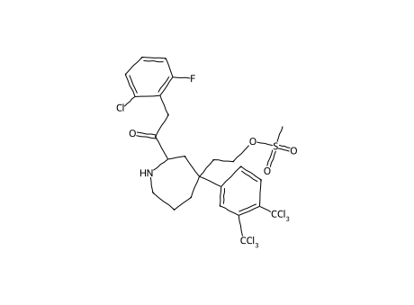 CS(=O)(=O)OCCC1(c2ccc(C(Cl)(Cl)Cl)c(C(Cl)(Cl)Cl)c2)CCCNC(C(=O)Cc2c(F)cccc2Cl)C1